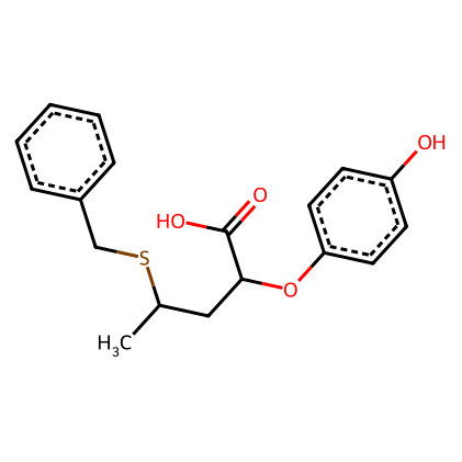 CC(CC(Oc1ccc(O)cc1)C(=O)O)SCc1ccccc1